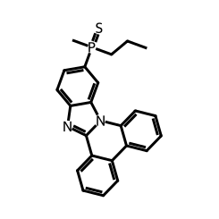 CCCP(C)(=S)c1ccc2nc3c4ccccc4c4ccccc4n3c2c1